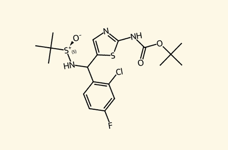 CC(C)(C)OC(=O)Nc1ncc(C(N[S@+]([O-])C(C)(C)C)c2ccc(F)cc2Cl)s1